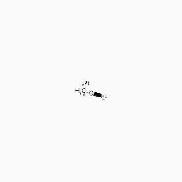 O.[O]=[Pt].[Pt]